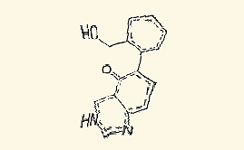 O=c1c2c[nH]cnc-2ccc1-c1ccccc1CO